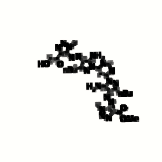 CCCCc1nn(-c2cc(-n3nc(CCCC)c(/N=N/c4c(C(=O)OC)nnn4C)c3N)ncn2)c(N)c1/N=N/c1c(C(=O)CO)nnn1C